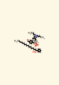 CCCCCCCCCCCCCCCCC(O)c1ccccc1.CCCC[N+](CCCC)(CCCC)CCCC.O=Cc1ccc(COS(=O)(=O)[O-])cc1